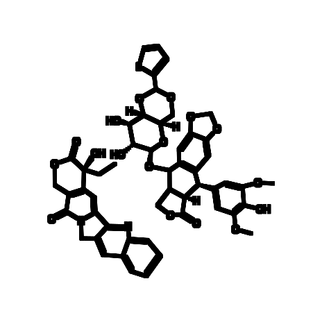 CC[C@@]1(O)C(=O)OCc2c1cc1n(c2=O)Cc2cc3ccccc3nc2-1.COc1cc([C@@H]2c3cc4c(cc3C(O[C@@H]3O[C@@H]5COC(c6cccs6)O[C@H]5[C@H](O)[C@H]3O)C3COC(=O)[C@@H]32)OCO4)cc(OC)c1O